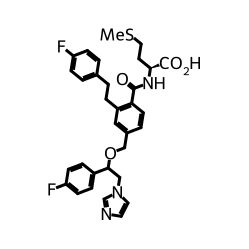 CSCC[C@H](NC(=O)c1ccc(COC(Cn2ccnc2)c2ccc(F)cc2)cc1CCc1ccc(F)cc1)C(=O)O